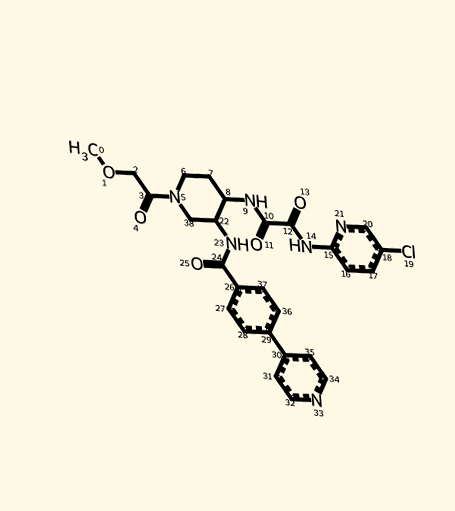 COCC(=O)N1CCC(NC(=O)C(=O)Nc2ccc(Cl)cn2)C(NC(=O)c2ccc(-c3ccncc3)cc2)C1